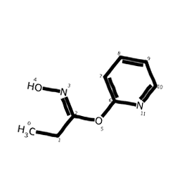 CCC(=NO)Oc1ccccn1